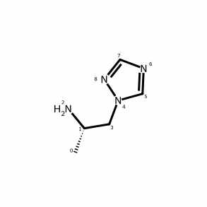 C[C@H](N)Cn1cncn1